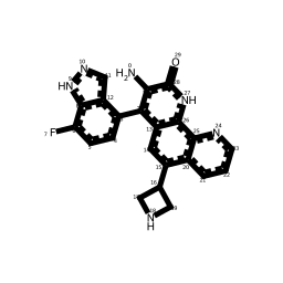 Nc1c(-c2ccc(F)c3[nH]ncc23)c2cc(C3CNC3)c3cccnc3c2[nH]c1=O